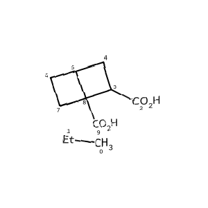 CCC.O=C(O)C1CC2CCC21C(=O)O